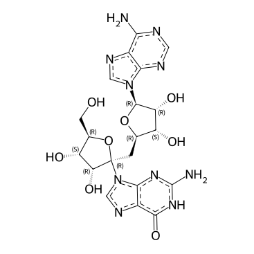 Nc1nc2c(ncn2[C@]2(C[C@H]3O[C@@H](n4cnc5c(N)ncnc54)[C@H](O)[C@@H]3O)O[C@H](CO)[C@@H](O)[C@H]2O)c(=O)[nH]1